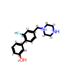 Oc1cccc(-c2ccc(CN3CCNCC3)cc2F)c1